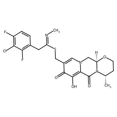 C/N=C(/Cc1ccc(F)c(Cl)c1F)SCc1cn2c(c(O)c1=O)C(=O)N1[C@@H](C)CCO[C@@H]1C2